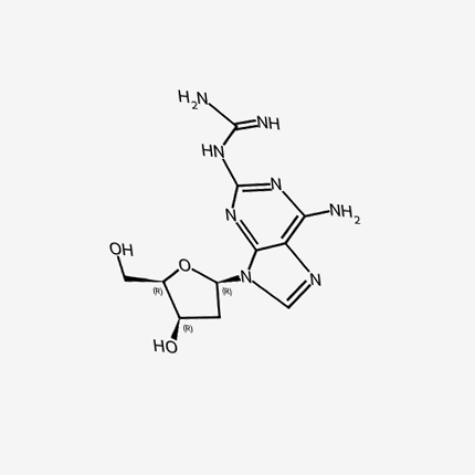 N=C(N)Nc1nc(N)c2ncn([C@H]3C[C@@H](O)[C@@H](CO)O3)c2n1